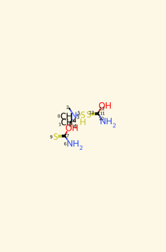 C.C.CN(C)S.NC(O)=S.NC(O)=S